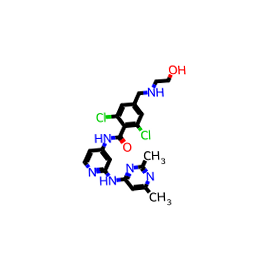 Cc1cc(Nc2cc(NC(=O)c3c(Cl)cc(CNCCO)cc3Cl)ccn2)nc(C)n1